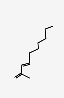 [CH]=C(C)C=CCCCCCC